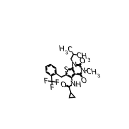 CC(C)Cn1c(=O)n(C)c(=O)c2c(NC(=O)C3CC3)c(Cc3ccccc3C(F)(F)F)sc21